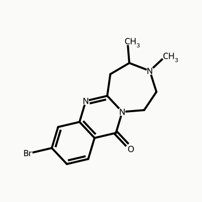 CC1Cc2nc3cc(Br)ccc3c(=O)n2CCN1C